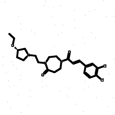 CCO[C@H]1CCN(CCN2CCN(C(=O)/C=C/c3ccc(Cl)c(Cl)c3)CCC2=O)C1